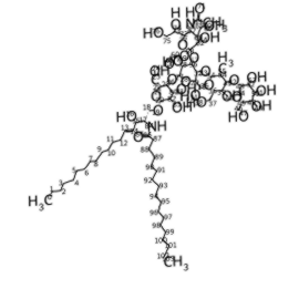 CCCCCCCCCCCCC/C=C/[C@@H](O)[C@H](CO[C@@H]1O[C@H](CO)[C@@H](O[C@@H]2O[C@H](CO)[C@H](O[C@@H]3O[C@H](CO)[C@H](O)[C@H](O[C@@H]4O[C@H](CO)[C@H](O)[C@H](O)[C@H]4O)[C@H]3C)[C@H](O[C@]3(OC=O)C[C@@](O)(CO)[C@@H](NC(C)=O)[C@H]([C@H](O)CO)O3)[C@H]2O)[C@H](O)[C@H]1O)NC(=O)CCCCCCCCCCCCCCCCC